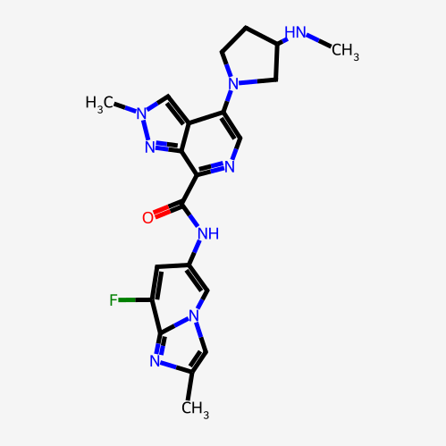 CNC1CCN(c2cnc(C(=O)Nc3cc(F)c4nc(C)cn4c3)c3nn(C)cc23)C1